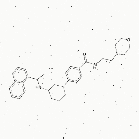 CC(NC1CCCC(c2ccc(C(=O)NCCN3CCOCC3)cc2)C1)c1cccc2ccccc12